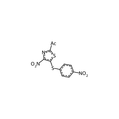 CC(=O)c1nc([N+](=O)[O-])c(Sc2ccc([N+](=O)[O-])cc2)s1